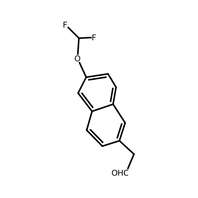 O=CCc1ccc2cc(OC(F)F)ccc2c1